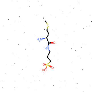 CSCC[C@H](N)C(=O)NCCCS(=O)(=O)O